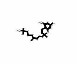 CC(=CCCC1(C)C=Cc2c(O)cc(C)cc2O1)CCCC(C)(C)O